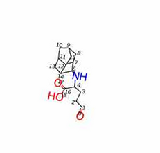 O=CCCC(NC1C2CC3CC(C2)CC1C3)C(=O)O